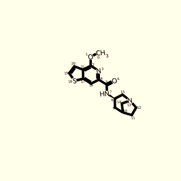 COc1nc(C(=O)N[C@@H]2CC3CCN(C3)C2)cc2sccc12